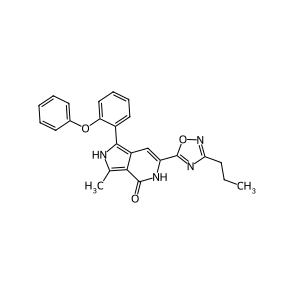 CCCc1noc(-c2cc3c(-c4ccccc4Oc4ccccc4)[nH]c(C)c3c(=O)[nH]2)n1